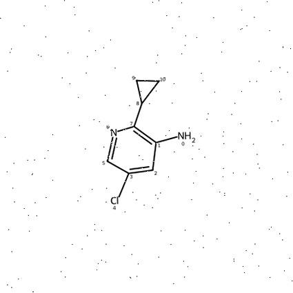 Nc1cc(Cl)cnc1C1CC1